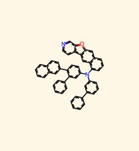 c1ccc(-c2cccc(N(c3ccc(-c4ccc5ccccc5c4)c(-c4ccccc4)c3)c3cccc4cc5oc6cnccc6c5cc34)c2)cc1